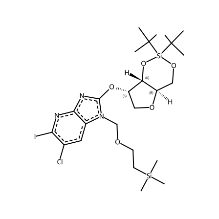 CC(C)(C)[Si]1(C(C)(C)C)OC[C@H]2OC[C@H](Oc3nc4nc(I)c(Cl)cc4n3COCC[Si](C)(C)C)[C@@H]2O1